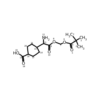 CC(C)(C)C(=O)OCOC(=O)C(N)C1CCC(C(=O)O)CC1